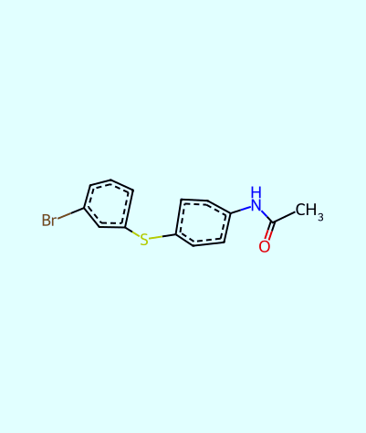 CC(=O)Nc1ccc(Sc2cccc(Br)c2)cc1